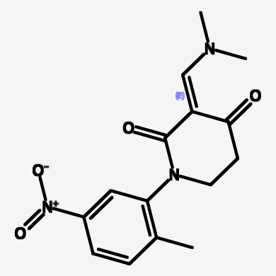 Cc1ccc([N+](=O)[O-])cc1N1CCC(=O)/C(=C\N(C)C)C1=O